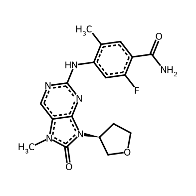 Cc1cc(C(N)=O)c(F)cc1Nc1ncc2c(n1)n([C@H]1CCOC1)c(=O)n2C